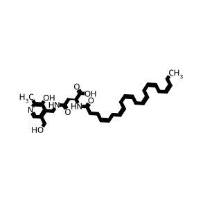 CC/C=C\C/C=C\C/C=C\C/C=C\C/C=C\C/C=C\CCC(=O)N[C@@H](CC(=O)NCc1c(CO)cnc(C)c1O)C(=O)O